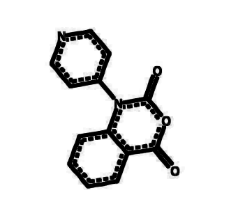 O=c1oc(=O)n(-c2ccncc2)c2ccccc12